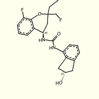 O=C(Nc1cccc2c1C[C@@H](O)C2)N[C@@H]1CC(CF)(CF)Oc2c(F)cccc21